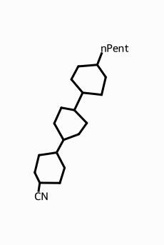 CCCCCC1CCC(C2CCC(C3CCC(C#N)CC3)CC2)CC1